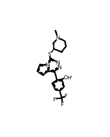 CN1CCC[C@@H](Sc2nnc(-c3ccc(C(F)(F)F)cc3O)c3cccn23)C1